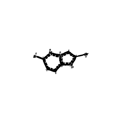 Brc1cn2nc(Br)ccc2n1